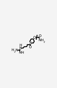 CC(C)(OC1CCN(C(=O)[CH]CCCNC(=N)N)CC1)C(N)=O